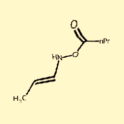 CC=CNOC(=O)CCC